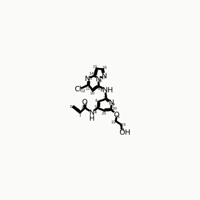 C=CC(=O)Nc1cc(Nc2cc(Cl)nc3ccnn23)nc(OCCO)c1